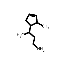 CC1C=CCC1C(C)CCN